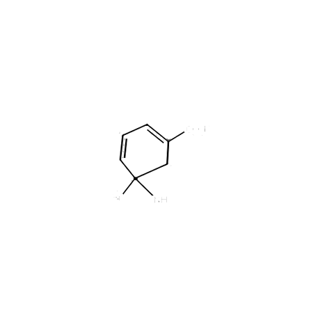 NC1(Br)C=CC=C(C(=O)O)C1